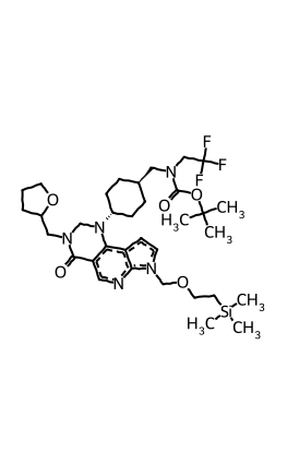 CC(C)(C)OC(=O)N(CC(F)(F)F)C[C@H]1CC[C@H](N2CN(CC3CCCO3)C(=O)c3cnc4c(ccn4COCC[Si](C)(C)C)c32)CC1